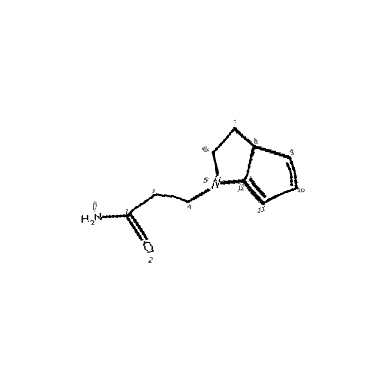 NC(=O)CCN1CCC2C=CC=C21